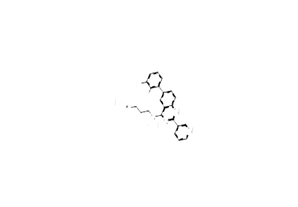 COCCCN(C)c1nc(-c2cccnc2)nc2ccc(-c3cccc(F)c3F)cc12